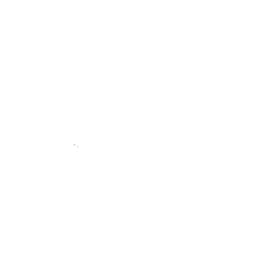 CN(CCC(Oc1ccc2c(c1)CCCC2)c1ccc(F)cc1)CC1CC1